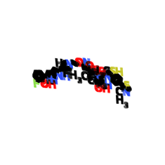 Cc1ncsc1-c1ccc(C(C)(S)NC(=O)[C@@H]2C[C@@H](O)CN2C(=O)[C@@H](c2cc(OCCN3C[C@@H]4[C@H](C3)[C@H]4c3cc4cc(-c5cccc(F)c5O)nnc4[nH]3)no2)C(C)C)cc1